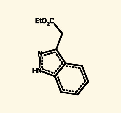 CCOC(=O)Cc1n[nH]c2ccccc12